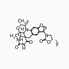 C[C@@H]1O[C@H](C)C(F)N2c3cc4onc(N5C[C@H](CF)OC5=O)c4cc3CC3(C(=O)NC(=O)NC3=O)[C@@H]12